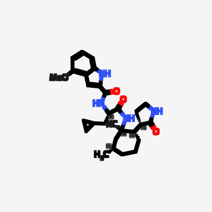 COc1cccc2[nH]c(C(=O)N[C@@H](CC3CC3)C(=O)N[C@@]3(C#N)C[C@@H](C)CCC[C@H]3[C@@H]3CCNC3=O)cc12